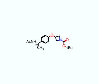 CC(=O)N[C@@H](C)c1ccc(OC2CN(C(=O)OC(C)(C)C)C2)cc1